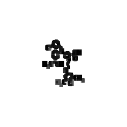 Cc1cc(OCCCn2cc(N(Cc3cccc(Cl)c3)c3cccc(C(C)O)c3)cc2C(=O)O)cc(C)c1Cl